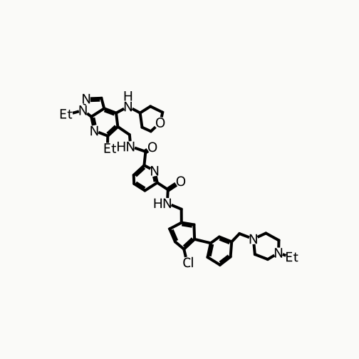 CCc1nc2c(cnn2CC)c(NC2CCOCC2)c1CNC(=O)c1cccc(C(=O)NCc2ccc(Cl)c(-c3cccc(CN4CCN(CC)CC4)c3)c2)n1